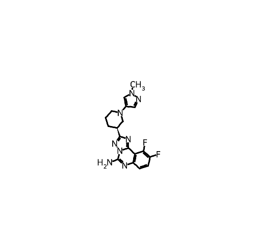 Cn1cc(N2CCC[C@H](c3nc4c5c(F)c(F)ccc5nc(N)n4n3)C2)cn1